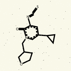 O=c1c(N=C=S)cc(C2CC2)cn1CC1CCOC1